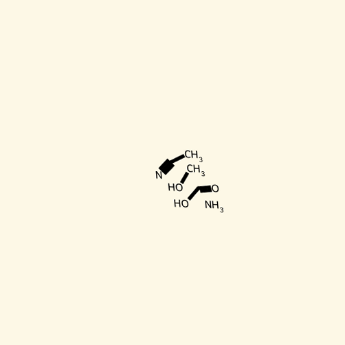 CC#N.CO.N.O=CO